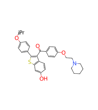 CC(C)Oc1ccc(-c2sc3cc(O)ccc3c2C(=O)c2ccc(OCCN3CCCCC3)cc2)cc1